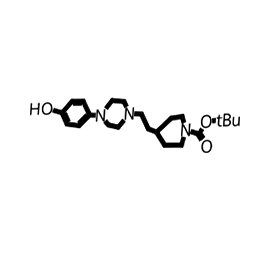 CC(C)(C)OC(=O)N1CCC(CCN2CCN(c3ccc(O)cc3)CC2)CC1